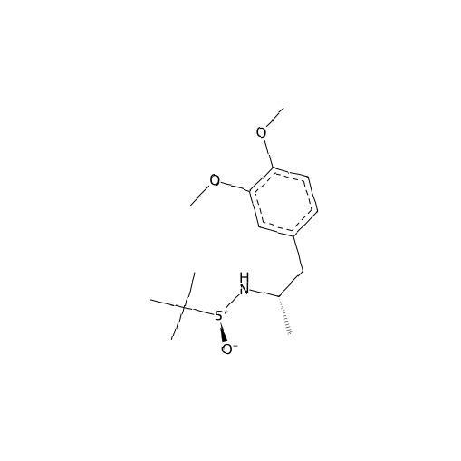 COc1ccc(C[C@H](C)N[S@@+]([O-])C(C)(C)C)cc1OC